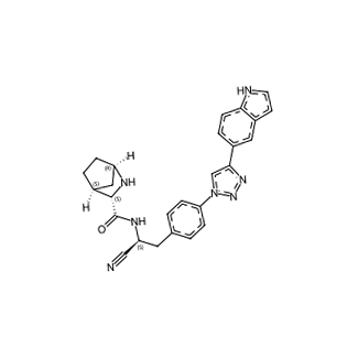 N#C[C@H](Cc1ccc(-n2cc(-c3ccc4[nH]ccc4c3)nn2)cc1)NC(=O)[C@H]1N[C@@H]2CC[C@H]1C2